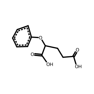 O=C(O)CCC(Oc1ccccc1)C(=O)O